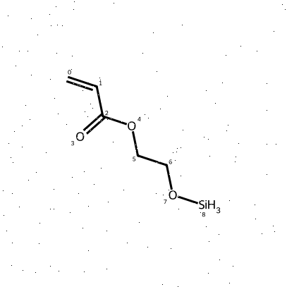 C=CC(=O)OCCO[SiH3]